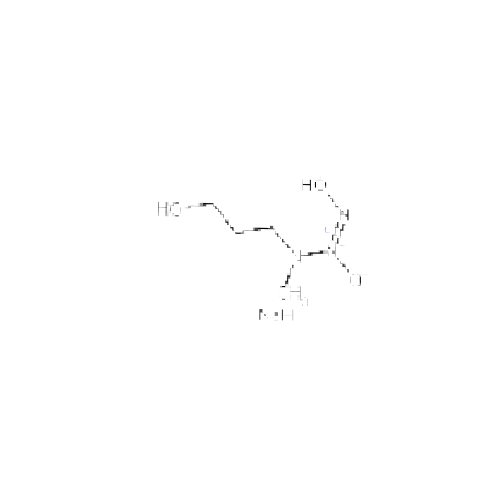 CN(CCCO)/[N+]([O-])=N\O.[NaH]